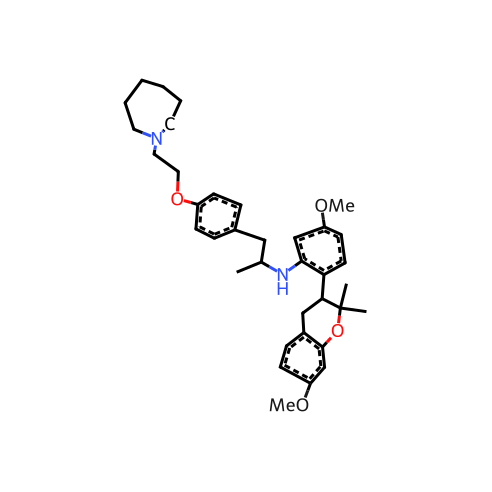 COc1ccc(C2Cc3ccc(OC)cc3OC2(C)C)c(NC(C)Cc2ccc(OCCN3CCCCCC3)cc2)c1